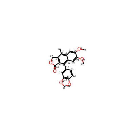 COc1cc2c(C)c3c(c(-c4ccc5c(c4)OCO5)c2cc1OC)C(=O)OC3